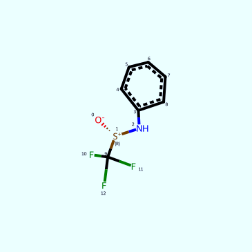 [O-][S@+](Nc1ccccc1)C(F)(F)F